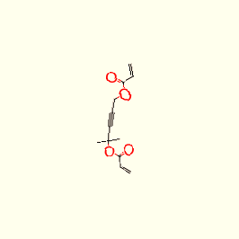 C=CC(=O)OCC#CC(C)(C)OC(=O)C=C